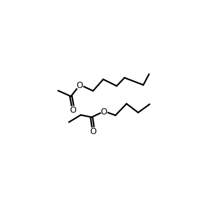 CCCCCCOC(C)=O.CCCCOC(=O)CC